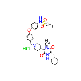 CN1C(=O)[C@H](CC2CCCCC2)NC(=O)C1C1CCN(Cc2ccc(Oc3ccc(NS(C)(=O)=O)cc3)cc2)CC1.Cl